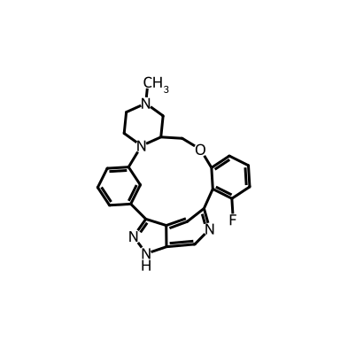 CN1CCN2c3cccc(c3)-c3n[nH]c4cnc(cc34)-c3c(F)cccc3OCC2C1